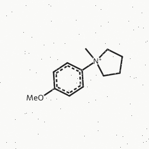 COc1ccc([N+]2(C)CCCC2)cc1